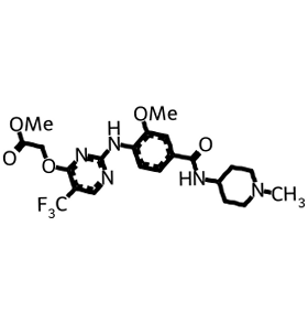 COC(=O)COc1nc(Nc2ccc(C(=O)NC3CCN(C)CC3)cc2OC)ncc1C(F)(F)F